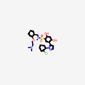 CN(C)CCOc1ccccc1CN(C)S(=O)(=O)c1cc(-c2ccnn2-c2ccccc2Cl)c(O)cc1O